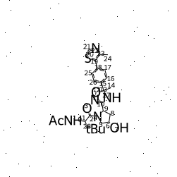 CC(=O)NC(C(=O)N1CC(O)CC1C1=NOC(C)(c2ccc(-c3scnc3C)cc2)N1)C(C)(C)C